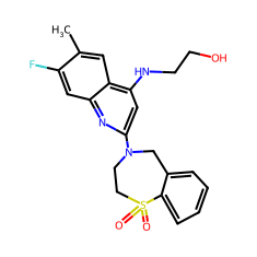 Cc1cc2c(NCCO)cc(N3CCS(=O)(=O)c4ccccc4C3)nc2cc1F